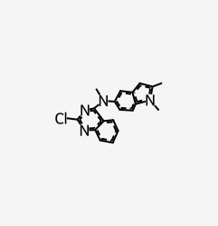 Cc1cc2cc(N(C)c3nc(Cl)nc4ccccc34)ccc2n1C